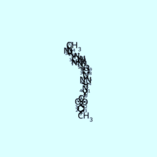 Cc1ccc(S(=O)(=O)OCC2CN(c3cnc(N4CCO[C@H](Cn5nnc6nc(-c7cnn(C)c7)cnc65)C4)nc3)C2)cc1